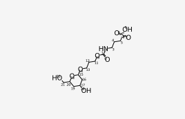 O=C(NCCCS(=O)(=O)O)OCCCOC1CC(O)CC(CO)O1